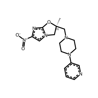 C[C@]1(CN2CCN(c3cccnc3)CC2)Cn2cc([N+](=O)[O-])nc2O1